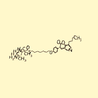 CCCCc1cncc2cc(-c3ccc(OCCCCCCCSC(=O)C(C)(C)C(N)CC(C)(C)N)cc3)c(=O)oc12